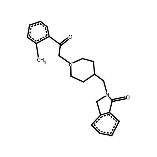 Cc1ccccc1C(=O)CN1CCC(CN2Cc3ccccc3C2=O)CC1